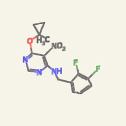 CC1(Oc2ncnc(NCc3cccc(F)c3F)c2[N+](=O)[O-])CC1